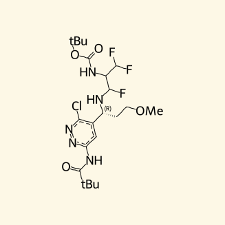 COCC[C@@H](NC(F)C(NC(=O)OC(C)(C)C)C(F)F)c1cc(NC(=O)C(C)(C)C)nnc1Cl